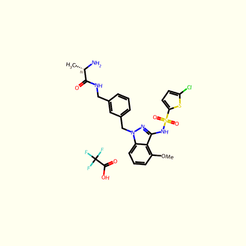 COc1cccc2c1c(NS(=O)(=O)c1ccc(Cl)s1)nn2Cc1cccc(CNC(=O)[C@H](C)N)c1.O=C(O)C(F)(F)F